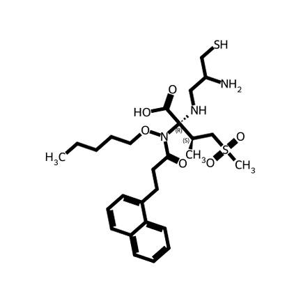 CCCCCON(C(=O)CCc1cccc2ccccc12)[C@@](NCC(N)CS)(C(=O)O)[C@H](C)CS(C)(=O)=O